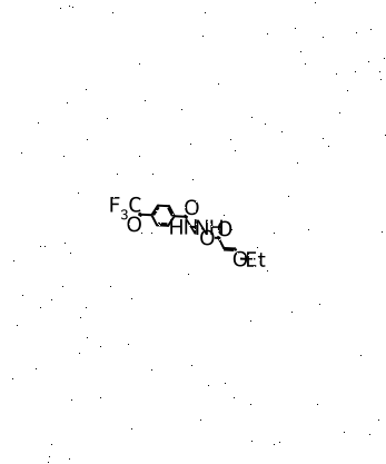 CCOC=CC(=O)ONNC(=O)c1ccc(C(=O)C(F)(F)F)cc1